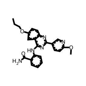 CCCOc1ccc2nc(-c3ccc(OC)nc3)nc(Nc3ccccc3C(N)=O)c2c1